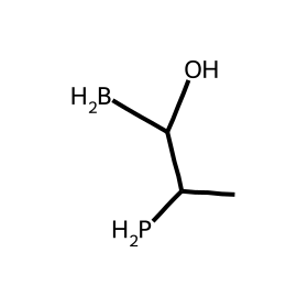 BC(O)C(C)P